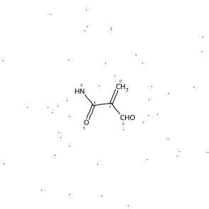 C=C(C=O)C([NH])=O